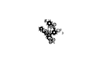 CC12CCN(S(C)(=O)=O)CC1C(c1ccc(C(F)(F)F)c(CNC(=O)c3ccc(F)cc3)c1)=NN2CC(O)CN1CCCC1